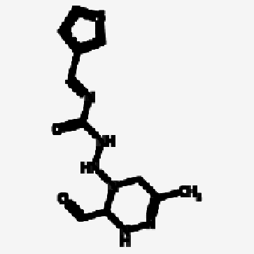 CC1=NNC(C=O)N(NNC(=O)/N=C/c2ccsc2)C1